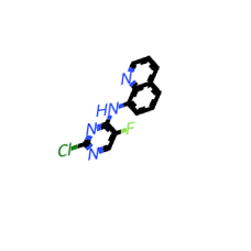 Fc1cnc(Cl)nc1Nc1cccc2cccnc12